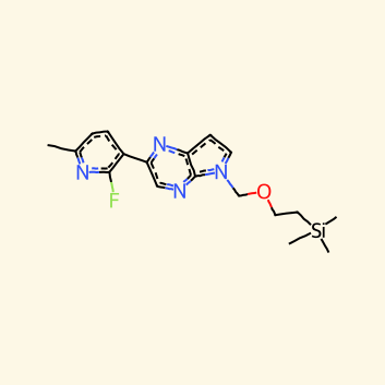 Cc1ccc(-c2cnc3c(ccn3COCC[Si](C)(C)C)n2)c(F)n1